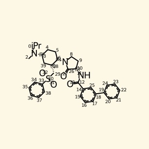 CC(C)N(C)[C@@H]1CC[C@H](N2CC[C@H](NC(=O)c3cccc(-c4ccccc4)c3)C2=O)[C@H](CS(=O)(=O)c2ccccc2)C1